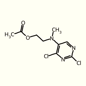 CC(=O)OCCN(C)c1cnc(Cl)nc1Cl